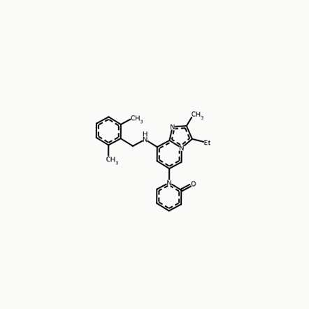 CCc1c(C)nc2c(NCc3c(C)cccc3C)cc(-n3ccccc3=O)cn12